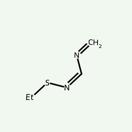 C=N/C=N\SCC